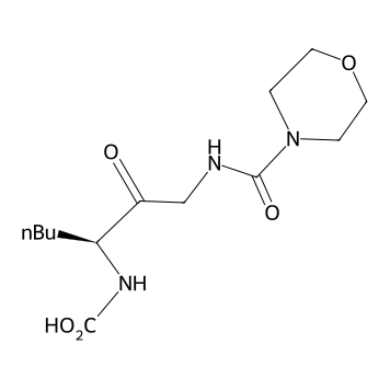 CCCC[C@H](NC(=O)O)C(=O)CNC(=O)N1CCOCC1